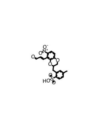 Cc1ccc(S(=O)(=O)O)c(CC2COc3ccc([N+](=O)[O-])c(C=CC=O)c3O2)c1